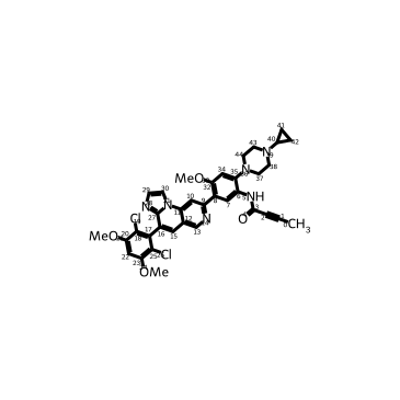 CC#CC(=O)Nc1cc(-c2cc3c(cn2)cc(-c2c(Cl)c(OC)cc(OC)c2Cl)c2nccn23)c(OC)cc1N1CCN(C2CC2)CC1